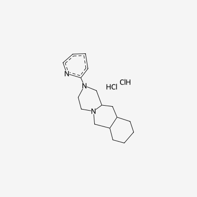 Cl.Cl.c1ccc(N2CCN3CC4CCCCC4CC3C2)nc1